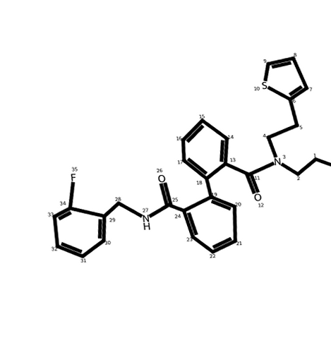 O=C(O)CCN(CCc1cccs1)C(=O)c1ccccc1-c1ccccc1C(=O)NCc1ccccc1F